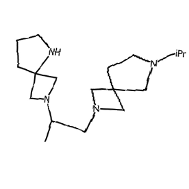 CC(C)N1CCC2(CN(CC(C)N3CC4(CCCN4)C3)C2)C1